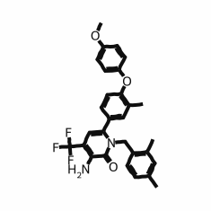 COc1ccc(Oc2ccc(-c3cc(C(F)(F)F)c(N)c(=O)n3Cc3ccc(C)cc3C)cc2C)cc1